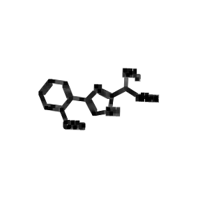 CCCCCCC(N)c1nc(-c2ccccc2OC)c[nH]1